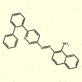 Nc1c(N=Nc2ccc(-c3ccccc3-c3ccccc3)nc2)ccc2ccccc12